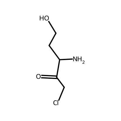 NC(CCO)C(=O)CCl